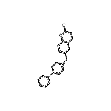 O=c1ccc2cc(C[n+]3ccc(-c4ccccc4)cc3)ccc2o1